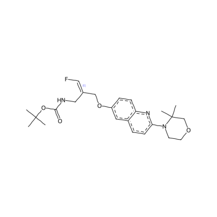 CC(C)(C)OC(=O)NC/C(=C\F)COc1ccc2nc(N3CCOCC3(C)C)ccc2c1